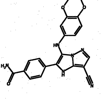 N#Cc1cnn2c(Nc3ccc4c(c3)OCCO4)c(-c3ccc(C(N)=O)cc3)[nH]c12